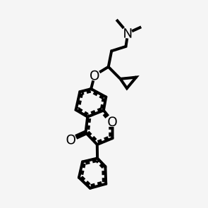 CN(C)CCC(Oc1ccc2c(=O)c(-c3ccccc3)coc2c1)C1CC1